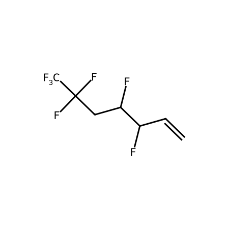 C=CC(F)C(F)CC(F)(F)C(F)(F)F